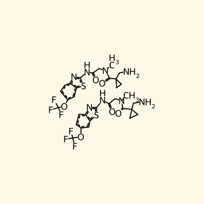 CN(CC(=O)Nc1nc2ccc(OC(F)(F)F)cc2s1)C(=O)C1(CN)CC1.CN(CC(=O)Nc1nc2ccc(OC(F)(F)F)cc2s1)C(=O)C1(CN)CC1